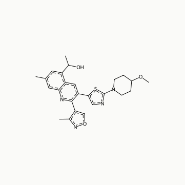 COC1CCN(c2ncc(-c3cc4c(C(C)O)cc(C)cc4nc3-c3conc3C)s2)CC1